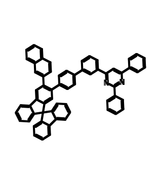 c1ccc(-c2cc(-c3cccc(-c4ccc(-c5cc6c(cc5-c5ccc7ccccc7c5)-c5ccccc5C65c6ccccc6-c6ccccc65)cc4)c3)nc(-c3ccccc3)n2)cc1